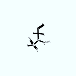 C=CC(C)(C)N(CCCCC)S(C)(=O)=O